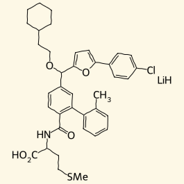 CSCCC(NC(=O)c1ccc(C(OCCC2CCCCC2)c2ccc(-c3ccc(Cl)cc3)o2)cc1-c1ccccc1C)C(=O)O.[LiH]